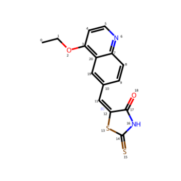 CCOc1ccnc2ccc(/C=C3/SC(=S)NC3=O)cc12